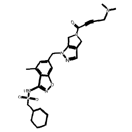 Cc1cc(Cn2ncc3c2CN(C(=O)C#CCN(C)C)C3)cc2onc(NS(=O)(=O)CC3CCCCC3)c12